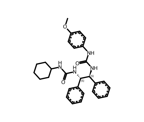 COc1ccc(NC(=O)N[C@@H](c2ccccc2)[C@@H](NC(=O)NC2CCCCC2)c2ccccc2)cc1